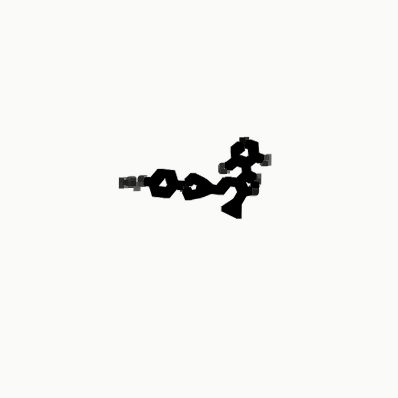 O=C(O)c1ccc(N2CC3C(C=Cc4c(-c5c(Cl)cncc5Cl)noc4C4CC4)C3C2)cc1